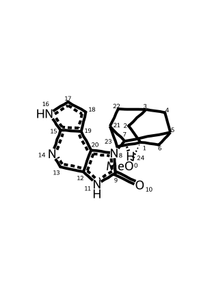 CO[C@]12CC3CC(C1)[C@@H](n1c(=O)[nH]c4cnc5[nH]ccc5c41)C(C3)C2